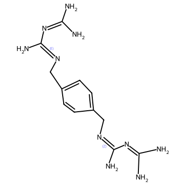 NC(N)=N/C(N)=N\Cc1ccc(C/N=C(\N)N=C(N)N)cc1